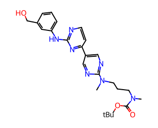 CN(CCCN(C)c1ncc(-c2ccnc(Nc3cccc(CO)c3)n2)cn1)C(=O)OC(C)(C)C